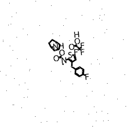 CN(C(=O)OC1CC2CCC(C1)N2)c1sccc1Cc1ccc(F)cc1.O=C(O)C(F)(F)F